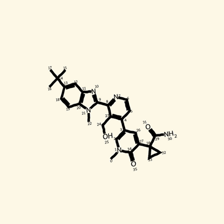 Cn1cc(-c2ccnc(-c3nc4cc(C(C)(C)C)ccc4n3C)c2CO)cc(C2(C(N)=O)CC2)c1=O